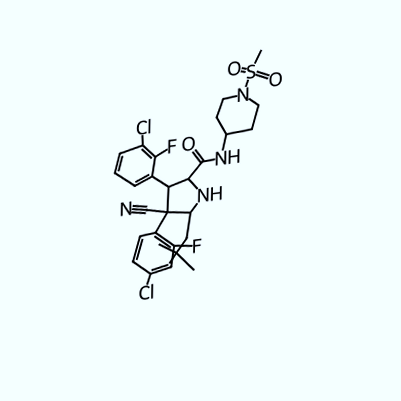 CC(C)(C)CC1NC(C(=O)NC2CCN(S(C)(=O)=O)CC2)C(c2cccc(Cl)c2F)C1(C#N)c1ccc(Cl)cc1F